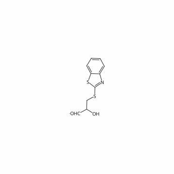 O=[C]C(O)CSc1nc2ccccc2s1